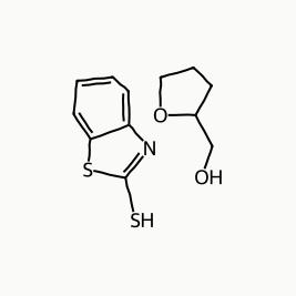 OCC1CCCO1.Sc1nc2ccccc2s1